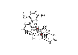 COc1ccc(F)cc1-c1ccnc2[nH]c(C3=CC4CCCC(C3)N4CC(=O)N(C)C)cc12